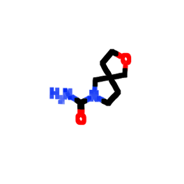 NC(=O)N1CCC2(CCOC2)C1